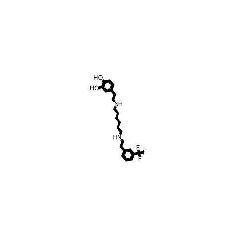 Oc1ccc(CCNCCCCCCNCCc2cccc(C(F)(F)F)c2)cc1O